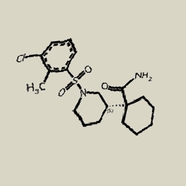 Cc1c(Cl)cccc1S(=O)(=O)N1CCC[C@@H](C2(C(N)=O)CCCCC2)C1